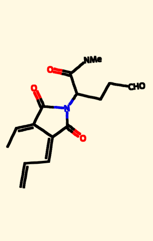 C=C/C=C1/C(=O)N(C(CCC=O)C(=O)NC)C(=O)/C1=C/C